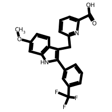 COc1ccc2c(Cc3cccc(C(=O)O)n3)c(-c3cccc(C(F)(F)F)c3)[nH]c2c1